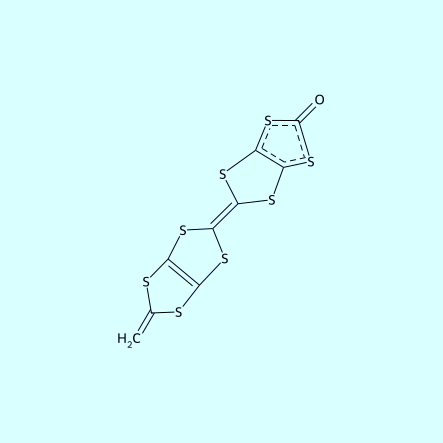 C=C1SC2=C(S1)SC(=C1Sc3sc(=O)sc3S1)S2